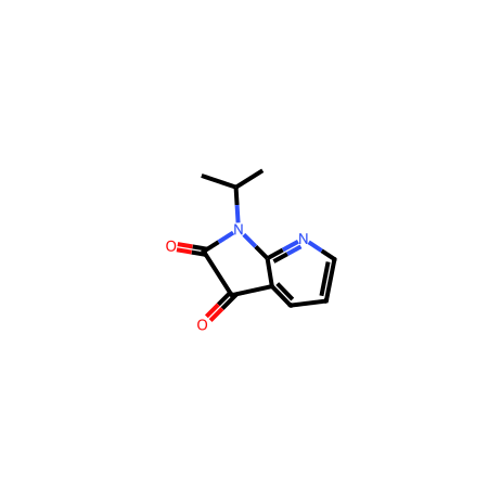 CC(C)N1C(=O)C(=O)c2cccnc21